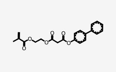 C=C(C)C(=O)OCCOC(=O)CC(=O)Oc1ccc(-c2ccccc2)cc1